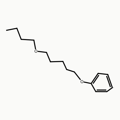 CCCCOCCCCCOc1cc[c]cc1